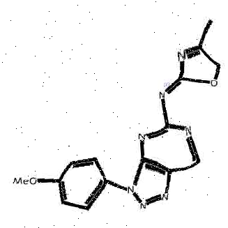 COc1ccc(-n2nnc3cnc(/N=C4/N=C(C)CO4)nc32)cc1